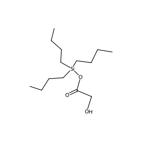 CCCC[Si](CCCC)(CCCC)OC(=O)CO